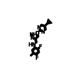 Cc1cc(N/C=C(/COc2ncc(C3CC3)cn2)N=N)c(F)cc1F